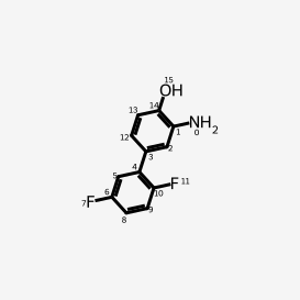 Nc1cc(-c2cc(F)ccc2F)ccc1O